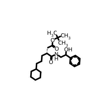 CC(C)(C)OC(=O)C[C@@H](CCCC1CCCCC1)C(=O)NCC(O)c1ccccc1